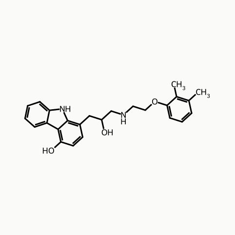 Cc1cccc(OCCNCC(O)Cc2ccc(O)c3c2[nH]c2ccccc23)c1C